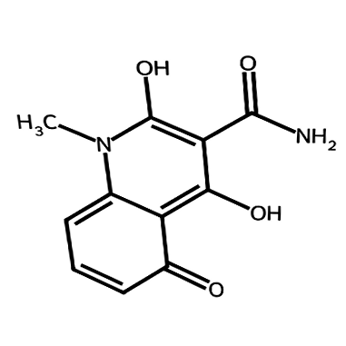 Cn1c2cccc(=O)c-2c(O)c(C(N)=O)c1O